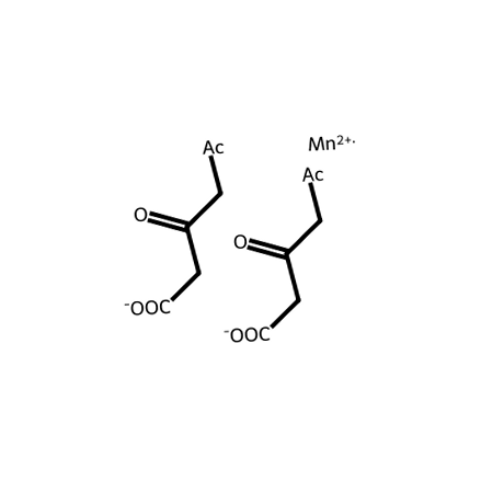 CC(=O)CC(=O)CC(=O)[O-].CC(=O)CC(=O)CC(=O)[O-].[Mn+2]